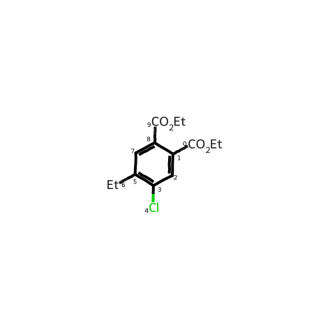 CCOC(=O)c1cc(Cl)c(CC)cc1C(=O)OCC